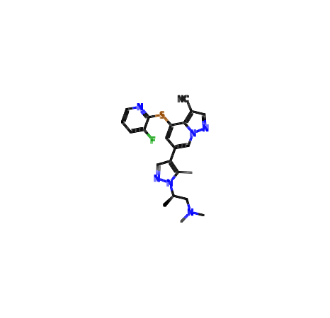 Cc1c(-c2cc(Sc3ncccc3F)c3c(C#N)cnn3c2)cnn1[C@H](C)CN(C)C